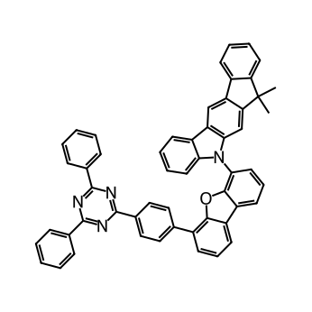 CC1(C)c2ccccc2-c2cc3c4ccccc4n(-c4cccc5c4oc4c(-c6ccc(-c7nc(-c8ccccc8)nc(-c8ccccc8)n7)cc6)cccc45)c3cc21